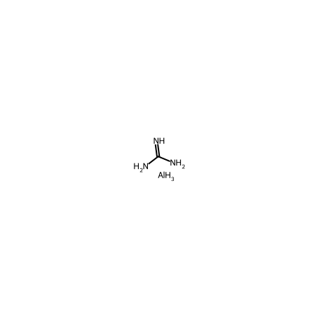 N=C(N)N.[AlH3]